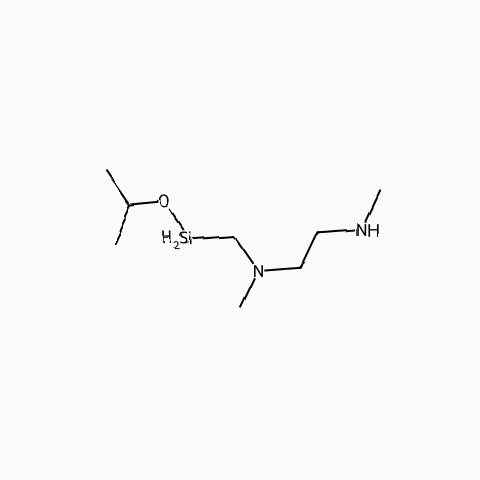 CNCCN(C)C[SiH2]OC(C)C